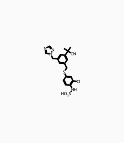 CC(C)(C#N)c1cc(CSc2ccc(NS(=O)(=O)O)c(Cl)c2)cc(Cn2cncn2)c1